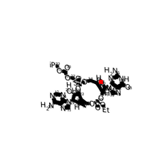 CCO[P@@]1(=O)OCC23C[C@@H]2[C@@H](n2cnc4c(N)ncnc42)[C@H](O)[C@@H]3O[P@@](=O)(SCOC(=O)OC(C)C)OC[C@H]2O[C@@H](n3cnc4c(=O)[nH]c(N)nc43)[C@H](O1)[C@@H]2OC